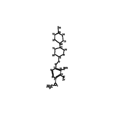 COc1ccc(CCC2CCC(C3CCC(I)CC3)CC2)c(F)c1F